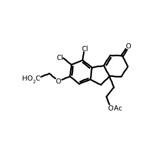 CC(=O)OCCC12CCC(=O)C=C1c1c(cc(OCC(=O)O)c(Cl)c1Cl)C2